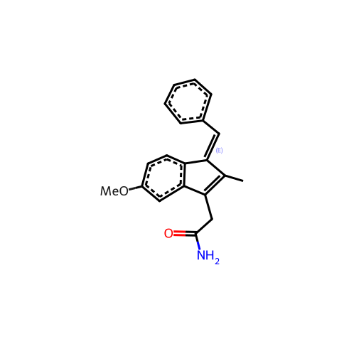 COc1ccc2c(c1)C(CC(N)=O)=C(C)/C2=C/c1ccccc1